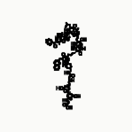 CC(C)C[C@H](NC(=O)[C@H](CO)NC(=O)[C@@H]1CCCN1C(=O)[C@@H](C)NC(=O)c1ccncc1)C(=O)OC(C)OC(=O)CC[C@H](NC(=O)N[C@@H](CCCCNC(=O)[C@H](Cc1ccc2ccccc2c1)NC(=O)[C@H]1CC[C@H](CNC(=O)CNCCN(CCN(CCNCC(=O)O)CC(=O)O)CC(=O)O)CC1)C(=O)O)C(=O)O